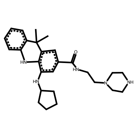 CC1(C)c2ccccc2Nc2c(NC3CCCC3)cc(C(=O)NCCN3CCNCC3)cc21